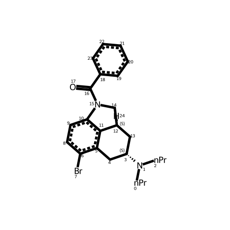 CCCN(CCC)[C@@H]1Cc2c(Br)ccc3c2[C@H](C1)CN3C(=O)c1ccccc1